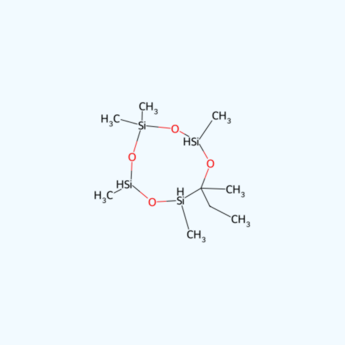 CCC1(C)O[SiH](C)O[Si](C)(C)O[SiH](C)O[SiH]1C